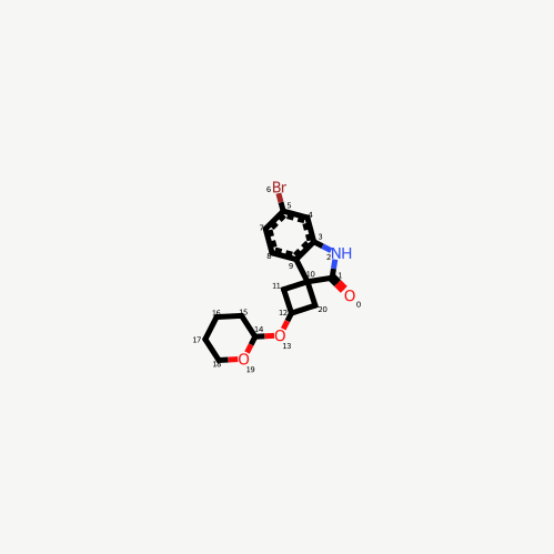 O=C1Nc2cc(Br)ccc2C12CC(OC1CCCCO1)C2